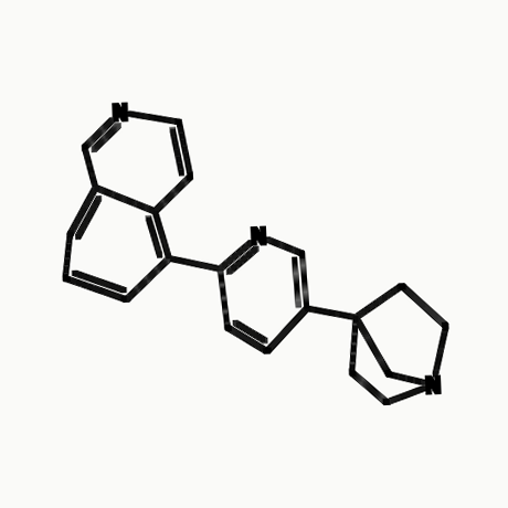 c1cc(-c2ccc(C34CCN(CC3)C4)cn2)c2ccncc2c1